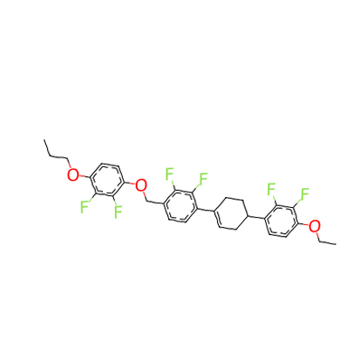 CCCOc1ccc(OCc2ccc(C3=CCC(c4ccc(OCC)c(F)c4F)CC3)c(F)c2F)c(F)c1F